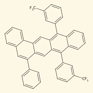 FC(F)(F)c1cccc(-c2c3ccccc3c(-c3cccc(C(F)(F)F)c3)c3cc4c(cc23)c(-c2ccccc2)cc2ccccc24)c1